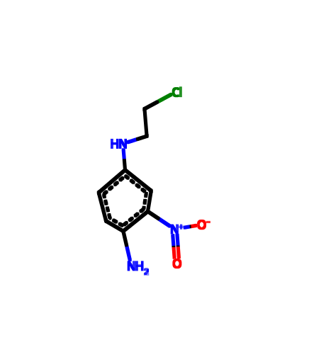 Nc1ccc(NCCCl)cc1[N+](=O)[O-]